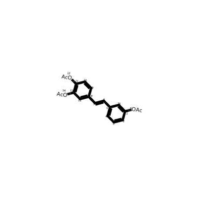 CC(=O)Oc1cccc(/C=C/c2ccc(OC(C)=O)c(OC(C)=O)c2)c1